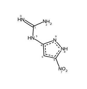 N=C(N)Nc1cc([N+](=O)[O-])[nH]n1